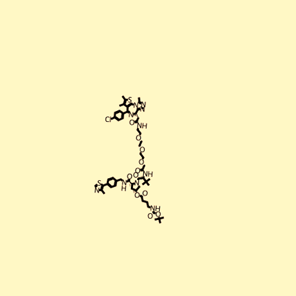 Cc1ncsc1-c1ccc(CNC(=O)[C@@H]2C[C@@H](OC(=O)CCCNC(=O)OC(C)(C)C)CN2C(=O)[C@@H](NC(=O)COCCOCCOCCNC(=O)C[C@@H]2N=C(c3ccc(Cl)cc3)c3c(sc(C)c3C)-n3c(C)nnc32)C(C)(C)C)cc1